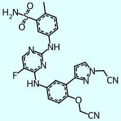 Cc1ccc(Nc2ncc(F)c(Nc3ccc(OCC#N)c(-c4ccn(CC#N)n4)c3)n2)cc1S(N)(=O)=O